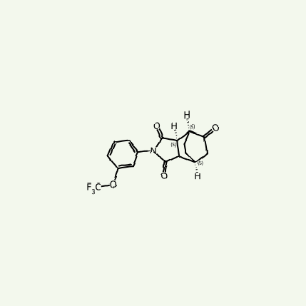 O=C1C[C@@H]2CC[C@H]1[C@@H]1C(=O)N(c3cccc(OC(F)(F)F)c3)C(=O)C21